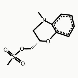 CN1C[C@@H](COS(C)(=O)=O)Oc2ccccc21